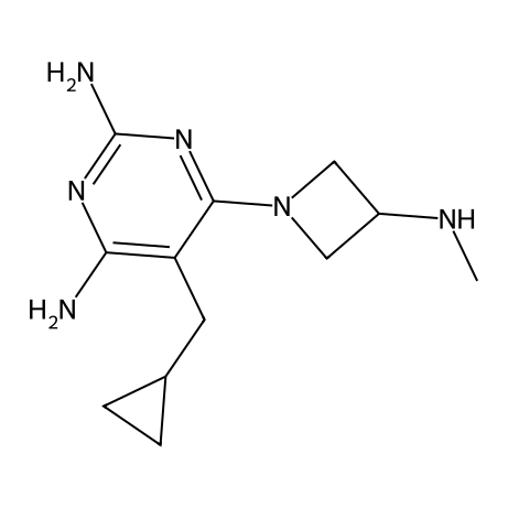 CNC1CN(c2nc(N)nc(N)c2CC2CC2)C1